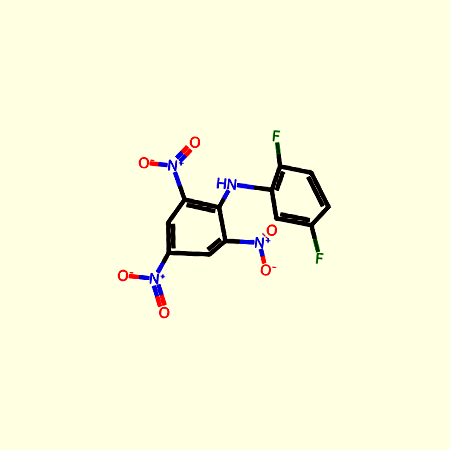 O=[N+]([O-])c1cc([N+](=O)[O-])c(Nc2cc(F)ccc2F)c([N+](=O)[O-])c1